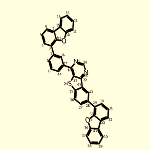 c1cc(-c2cccc3c2oc2ccccc23)cc(-c2ncnc3c2sc2ccc(-c4cccc5c4oc4ccccc45)cc23)c1